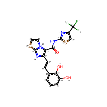 O=C(Nc1nc(C(F)(F)F)cs1)c1c(C=Cc2cccc(O)c2O)nc2sccn12